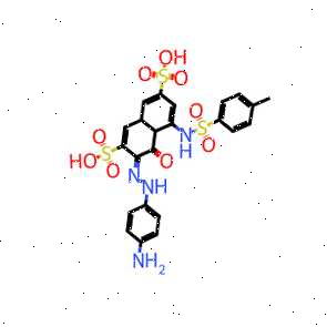 Cc1ccc(S(=O)(=O)NC2=CC(S(=O)(=O)O)=CC3C=C(S(=O)(=O)O)/C(=N/Nc4ccc(N)cc4)C(=O)C23)cc1